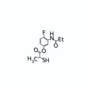 CCC(=O)Nc1cc(OC(=O)C(C)S)ccc1F